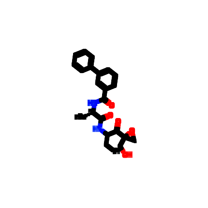 CCCC[C@H](NC(=O)c1cccc(-c2ccccc2)c1)C(=O)NC(CC(C)C)C(=O)C1(CO)CO1